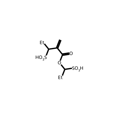 C=C(C(=O)OC(CC)S(=O)(=O)O)C(CC)S(=O)(=O)O